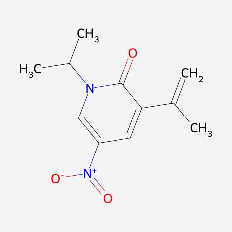 C=C(C)c1cc([N+](=O)[O-])cn(C(C)C)c1=O